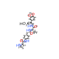 CC(C)C[C@H](NC(=O)Cc1ccc(NC(=O)c2ccc[nH]2)cc1)C(=O)NC[C@@H](C(=O)O)c1ccc2c(c1)OCO2